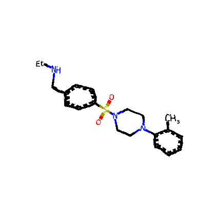 CCNCc1ccc(S(=O)(=O)N2CCN(c3ccccc3C)CC2)cc1